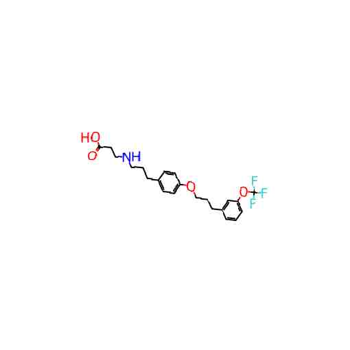 O=C(O)CCNCCCc1ccc(OCCCc2cccc(OC(F)(F)F)c2)cc1